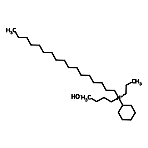 CCCCCCCCCCCCCCCCC[N+](CCC)(CCCC)C1CCCCC1.[OH-]